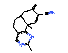 C=C1CC2CCc3cnc(C)nc3C2(C)C=C1C#N